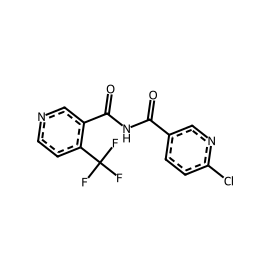 O=C(NC(=O)c1cnccc1C(F)(F)F)c1ccc(Cl)nc1